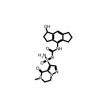 CN1CCn2ncc(S(N)(=O)=NC(=O)Nc3c4c(cc5c3CCC5O)CCC4)c2C1=O